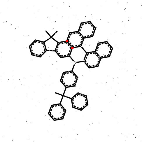 CC1(C)c2ccccc2-c2cc(N(c3ccc(C(C)(c4ccccc4)c4ccccc4)cc3)c3ccc4ccccc4c3-c3cccc4ccccc34)ccc21